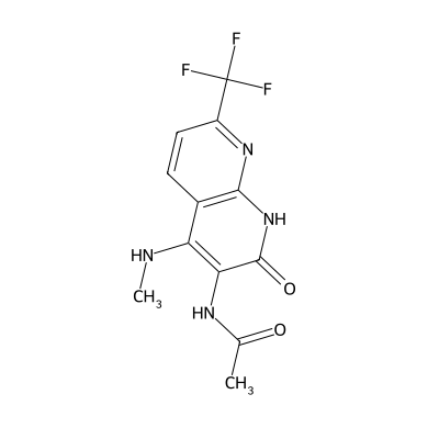 CNc1c(NC(C)=O)c(=O)[nH]c2nc(C(F)(F)F)ccc12